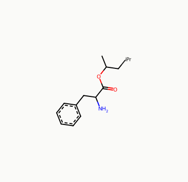 CC(C)CC(C)OC(=O)C(N)Cc1ccccc1